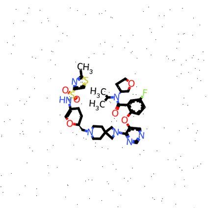 Cc1nc(S(=O)(=O)NC2=CO[C@H](CN3CCC4(CC3)CN(c3ncncc3Oc3ccc(F)cc3C(=O)N(C(C)C)[C@H]3CCOC3)C4)CC2)cs1